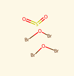 BrOBr.BrOBr.O=S=O